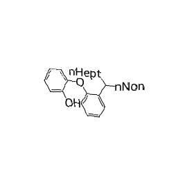 CCCCCCCCCC(CCCCCCC)c1ccccc1Oc1ccccc1O